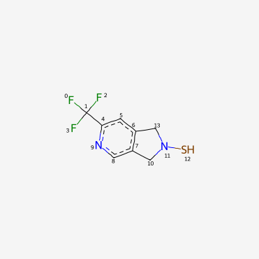 FC(F)(F)c1cc2c(cn1)CN(S)C2